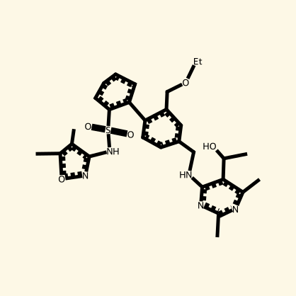 CCOCc1cc(CNc2nc(C)nc(C)c2C(C)O)ccc1-c1ccccc1S(=O)(=O)Nc1noc(C)c1C